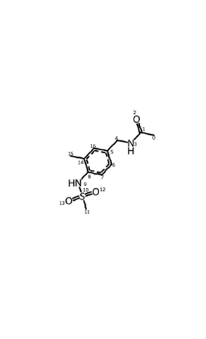 CC(=O)NCc1ccc(NS(C)(=O)=O)c(C)c1